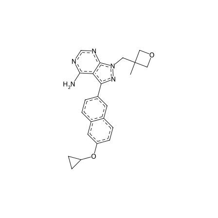 CC1(Cn2nc(-c3ccc4cc(OC5CC5)ccc4c3)c3c(N)ncnc32)COC1